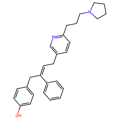 Oc1ccc(CC(=CCc2ccc(CCCN3CCCC3)nc2)c2ccccc2)cc1